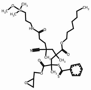 CCCCCCCOC(=O)C(C)(CC(C)(C#N)CCC(=O)NCCC[Si](C)(C)OC)CC(C)(SC(=S)c1ccccc1)C(=O)OCC1CO1